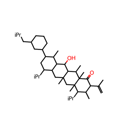 C=C(C)C1C(=O)C2(C)C(C)C3C(O)C4C(C)C(C5CCCC(CC(C)C)C5)CC(C(C)C)C4CC3(C)CC2(C)C(C(C)C)C1C